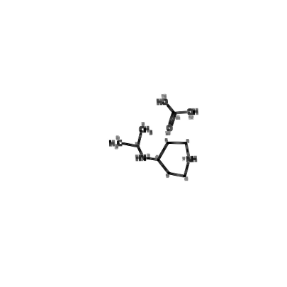 CC(C)NC1CCNCC1.O=C(O)O